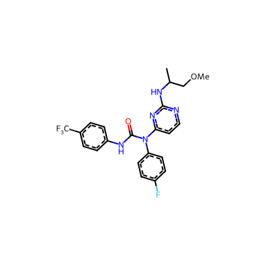 COCC(C)Nc1nccc(N(C(=O)Nc2ccc(C(F)(F)F)cc2)c2ccc(F)cc2)n1